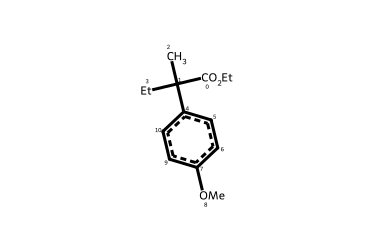 CCOC(=O)C(C)(CC)c1ccc(OC)cc1